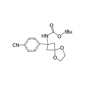 [C-]#[N+]c1ccc(C2(NC(=O)OC(C)(C)C)CC3(C2)OCCO3)cc1